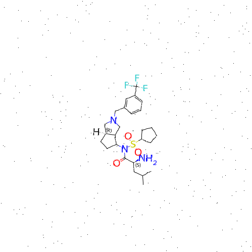 CC(C)C[C@H](N)C(=O)N(C1CC[C@H]2CN(Cc3cccc(C(F)(F)F)c3)CC12)S(=O)(=O)C1CCCC1